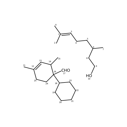 CC(C)=CCCC(C)CCO.CC1=CC(C)C(C=O)(C2CCCCC2)CC1